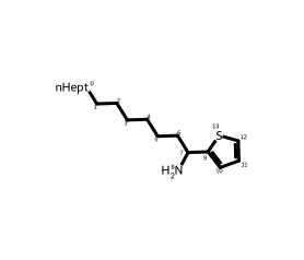 CCCCCCCCCCCCCC(N)c1cccs1